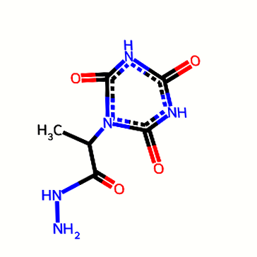 CC(C(=O)NN)n1c(=O)[nH]c(=O)[nH]c1=O